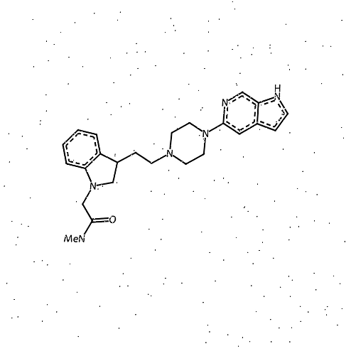 CNC(=O)CN1CC(CCN2CCN(c3cc4cc[nH]c4cn3)CC2)c2ccccc21